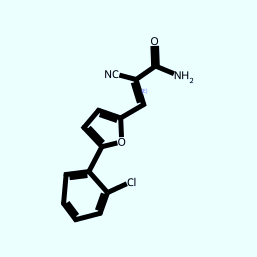 N#C/C(=C\c1ccc(-c2ccccc2Cl)o1)C(N)=O